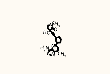 Cc1cc(-c2cccc(C#CC3(O)CCN(C)C3=O)c2)nc2c(N)ncnc12